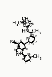 Cc1cccc(-n2ncc3c(C#N)cc(-c4cccc(C(C)NC(=O)OC(C)(C)C)n4)cc32)n1